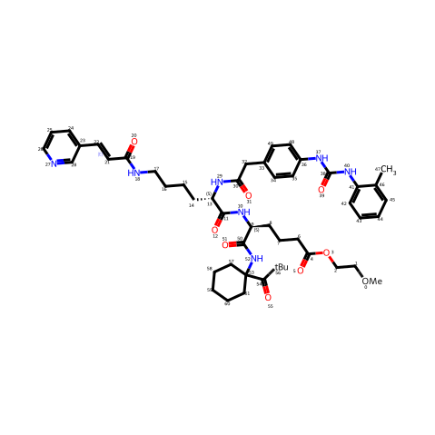 COCCOC(=O)CCC[C@H](NC(=O)[C@H](CCCCNC(=O)/C=C/c1cccnc1)NC(=O)Cc1ccc(NC(=O)Nc2ccccc2C)cc1)C(=O)NC1(C(=O)C(C)(C)C)CCCCC1